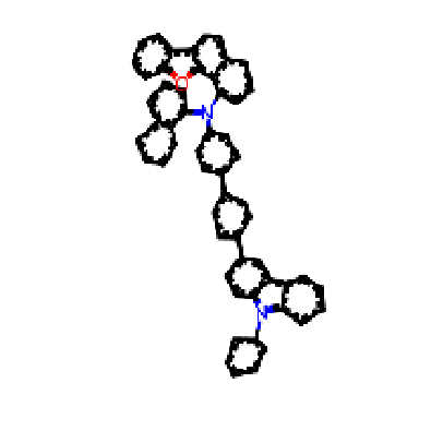 c1ccc(-n2c3ccccc3c3cc(-c4ccc(-c5ccc(N(c6cccc7ccccc67)c6cccc7ccc8c9ccccc9oc8c67)cc5)cc4)ccc32)cc1